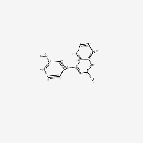 COc1cc(-c2cc(Cl)cc3nccnc23)ccn1